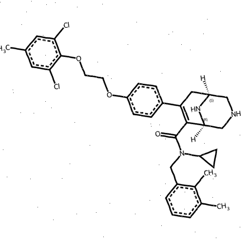 Cc1cc(Cl)c(OCCOc2ccc(C3=C(C(=O)N(Cc4cccc(C)c4C)C4CC4)[C@@H]4CNC[C@H](C3)N4)cc2)c(Cl)c1